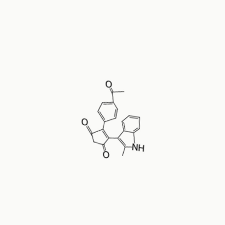 CC(=O)c1ccc(C2=C(c3c(C)[nH]c4ccccc34)C(=O)CC2=O)cc1